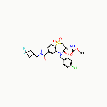 CC(C)(C)OC(=O)N[C@H]1CS(=O)(=O)c2ccc(C(=O)NCC3CC(F)(F)C3)cc2N(Cc2ccc(Cl)cc2)C1=O